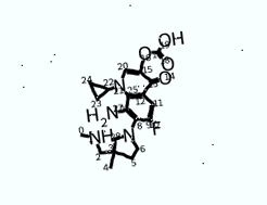 CNCC1(C)CCN(c2c(F)cc3c(=O)c(OC(=O)O)cn(C4CC4)c3c2N)C1